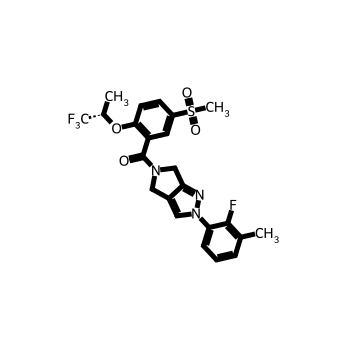 Cc1cccc(-n2cc3c(n2)CN(C(=O)c2cc(S(C)(=O)=O)ccc2O[C@@H](C)C(F)(F)F)C3)c1F